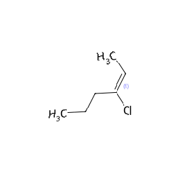 C/C=C(/Cl)CCC